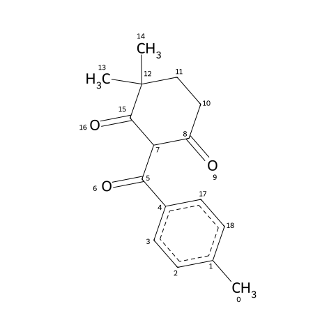 Cc1ccc(C(=O)C2C(=O)CCC(C)(C)C2=O)cc1